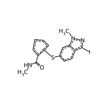 CNC(=O)c1ccccc1Sc1ccc2c(I)nn(C)c2c1